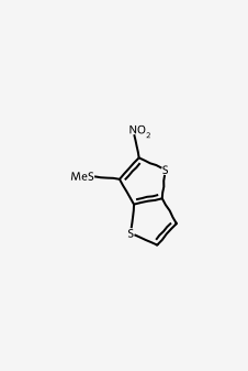 CSc1c([N+](=O)[O-])sc2ccsc12